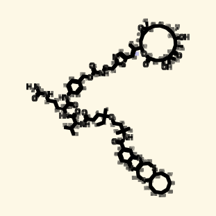 CCC(C)(CCC(=O)N[C@H](C(=O)N[C@@H](CCCNC(N)=O)C(=O)Nc1ccc(COC(=O)NOCc2ncc(/C=C(\C)C3CC4O[C@]4(C)CCC[C@H](C)C(O)[C@@H](C)C(=O)C(C)(C)[C@@H](O)CC(=O)O3)s2)cc1)C(C)C)OCCC(C)(C)NC(=O)c1ccc2nc3c(nc2c1)CSC1CCCCCCCC1SC3